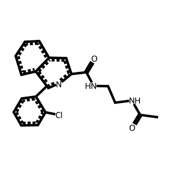 CC(=O)NCCNC(=O)c1cc2ccccc2c(-c2ccccc2Cl)n1